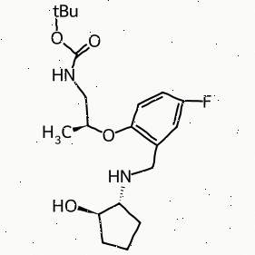 C[C@@H](CNC(=O)OC(C)(C)C)Oc1ccc(F)cc1CN[C@@H]1CCC[C@H]1O